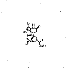 C=C(CC)[C@H]1NC(=O)C[C@@H](c2cc(Cl)cc(C(=O)OC)c2)[C@]12C(=O)Nc1cc(Cl)ccc12